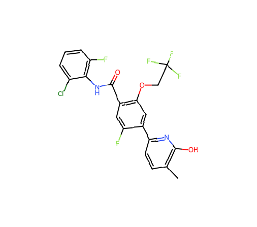 Cc1ccc(-c2cc(OCC(F)(F)F)c(C(=O)Nc3c(F)cccc3Cl)cc2F)nc1O